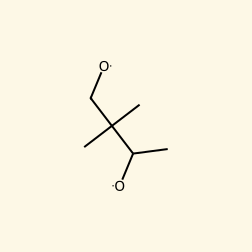 CC([O])C(C)(C)C[O]